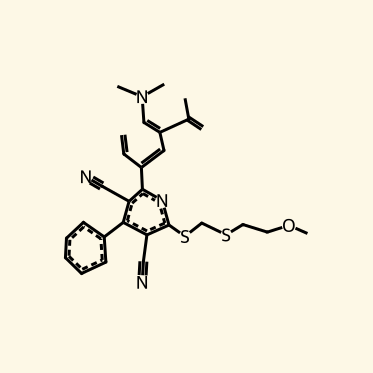 C=C/C(=C\C(=C\N(C)C)C(=C)C)c1nc(SCSCCOC)c(C#N)c(-c2ccccc2)c1C#N